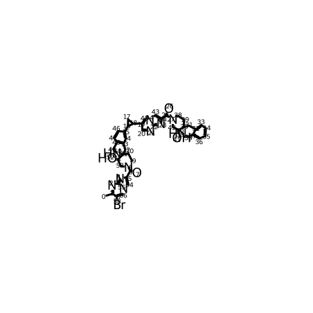 Cc1nc2nc(C(=O)N3CCC4(Cc5cc(C6CC6c6cnc7nc(C(=O)N8CCC9(Cc%10ccccc%10CN9)C(O)C8)cn7c6)ccc5CN4)C(O)C3)cn2cc1Br